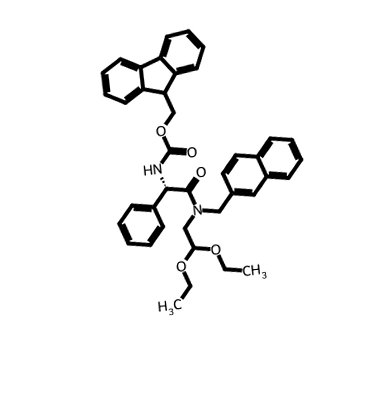 CCOC(CN(Cc1ccc2ccccc2c1)C(=O)[C@@H](NC(=O)OCC1c2ccccc2-c2ccccc21)c1ccccc1)OCC